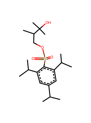 CC(C)c1cc(C(C)C)c(S(=O)(=O)OCC(C)C(C)(C)O)c(C(C)C)c1